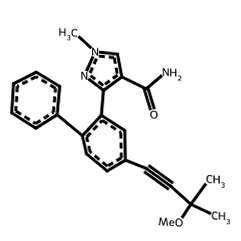 COC(C)(C)C#Cc1ccc(-c2ccccc2)c(-c2nn(C)cc2C(N)=O)c1